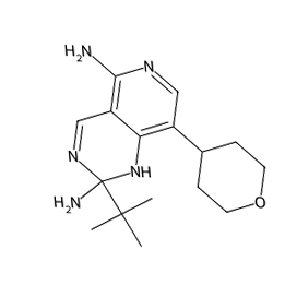 CC(C)(C)C1(N)N=Cc2c(N)ncc(C3CCOCC3)c2N1